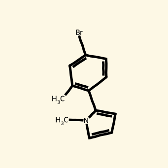 Cc1cc(Br)ccc1-c1cccn1C